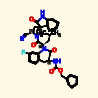 CC(C)C[C@@H](C(=O)N1C[C@]2(C[C@H]1C#N)C(=O)Nc1ccccc12)N1C(=O)[C@@H](NC(=O)OCc2ccccc2)Cc2ccc(F)cc21